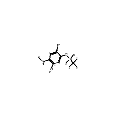 CNc1cc(F)c(O[Si](C)(C)C(C)(C)C)cc1Cl